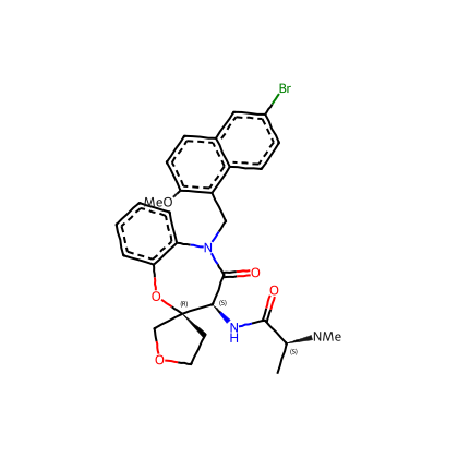 CN[C@@H](C)C(=O)N[C@@H]1C(=O)N(Cc2c(OC)ccc3cc(Br)ccc23)c2ccccc2O[C@]12CCOC2